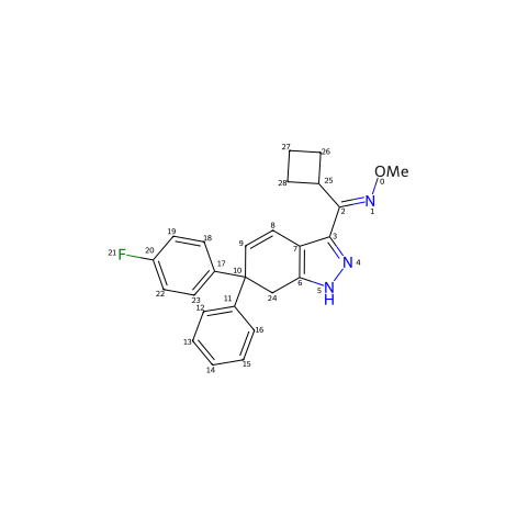 CO/N=C(/c1n[nH]c2c1C=CC(c1ccccc1)(c1ccc(F)cc1)C2)C1CCC1